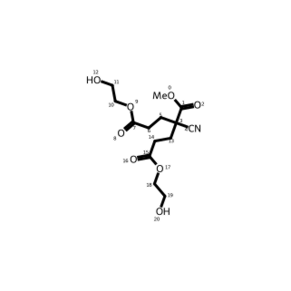 COC(=O)C(C#N)(CCC(=O)OCCO)CCC(=O)OCCO